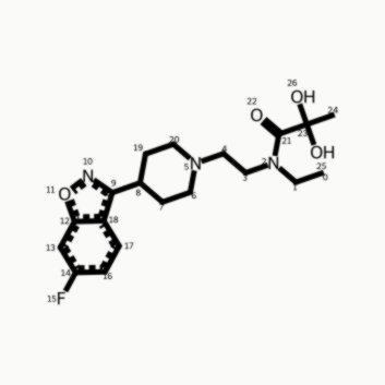 CCN(CCN1CCC(c2noc3cc(F)ccc23)CC1)C(=O)C(C)(O)O